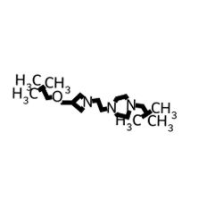 CC(C)(C)COCC1CN(CCN2CCN(CC(C)(C)C)CC2)C1